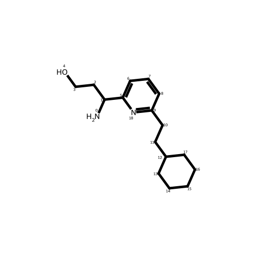 NC(CCO)c1cccc(CCC2CCCCC2)n1